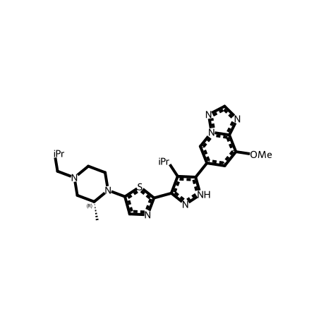 COc1cc(-c2[nH]nc(-c3ncc(N4CCN(CC(C)C)C[C@H]4C)s3)c2C(C)C)cn2ncnc12